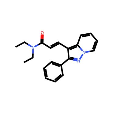 CCN(CC)C(=O)/C=C/c1c(-c2ccccc2)nn2ccccc12